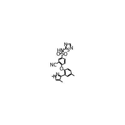 Cc1ccc(Oc2ccc(S(=O)(=O)Nc3ncns3)cc2C#N)c(-c2nn(C)cc2C)c1